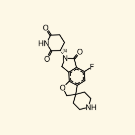 O=C1CC[C@H](N2Cc3c4c(cc(F)c3C2=O)C2(CCNCC2)CO4)C(=O)N1